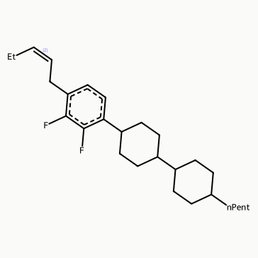 CC/C=C\Cc1ccc(C2CCC(C3CCC(CCCCC)CC3)CC2)c(F)c1F